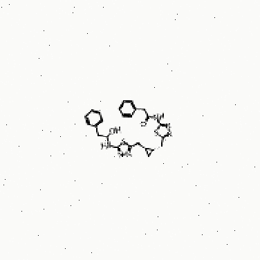 O=C(Cc1ccccc1)Nc1nnc(C[C@@H]2C[C@H]2Cc2nnc(NC(O)Cc3ccccc3)s2)s1